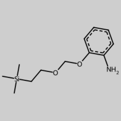 C[Si](C)(C)CCOCOc1ccccc1N